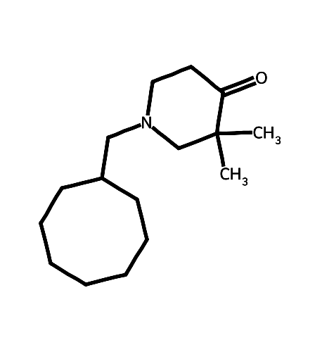 CC1(C)CN(CC2CCCCCCC2)CCC1=O